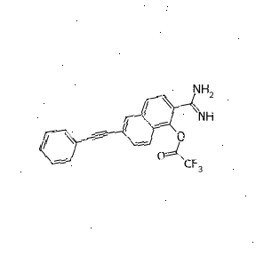 N=C(N)c1ccc2cc(C#Cc3ccccc3)ccc2c1OC(=O)C(F)(F)F